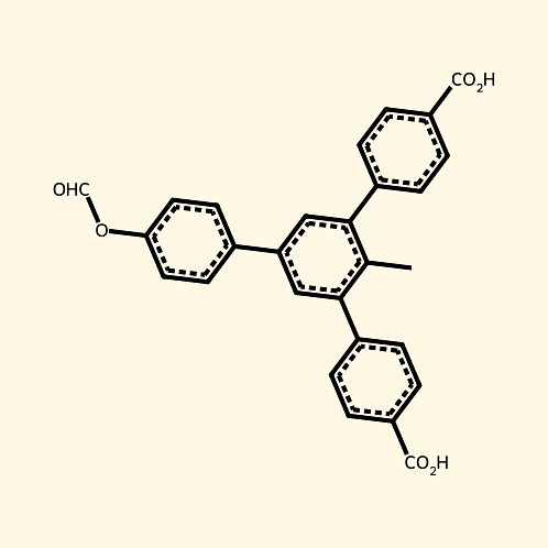 Cc1c(-c2ccc(C(=O)O)cc2)cc(-c2ccc(OC=O)cc2)cc1-c1ccc(C(=O)O)cc1